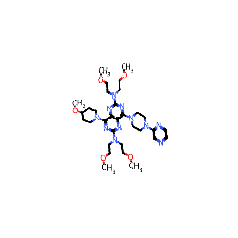 COCCN(CCOC)c1nc(N2CCN(c3cnccn3)CC2)c2nc(N(CCOC)CCOC)nc(N3CCC(OC)CC3)c2n1